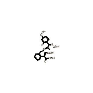 CCCOc1ccc(C(=NOC)C(C)=NOCc2ccccc2C(=COC)C(=O)OC)c(F)c1